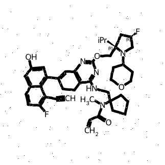 C#Cc1c(F)ccc2cc(O)cc(C3=Cc4nc(OC[C@]5(C(C)C)C[C@@H](F)CN5C5CCOCC5)nc(NCC5(N(C)C(=O)C=C)CCCC5)c4CC3)c12